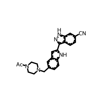 CC(=O)N1CCN(Cc2ccc3[nH]c(-c4n[nH]c5cc(C#N)ccc45)cc3c2)CC1